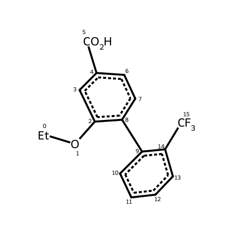 CCOc1cc(C(=O)O)ccc1-c1ccccc1C(F)(F)F